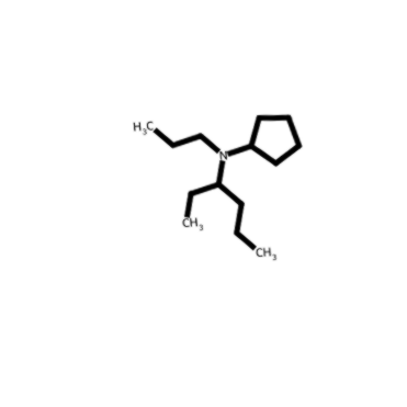 CCCC(CC)N(CCC)C1CCCC1